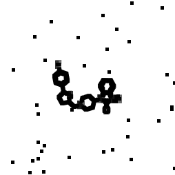 O=c1[nH]c2ccccc2n1C1CCN(CC2CCC(c3ccc(F)cc3)S2)CC1